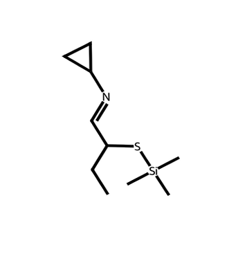 CCC(C=NC1CC1)S[Si](C)(C)C